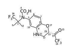 CC(C)(N(C(=O)O)c1ccc2c(c1)NC[C@@H](C(=O)C(F)(F)F)O2)C(F)(F)F